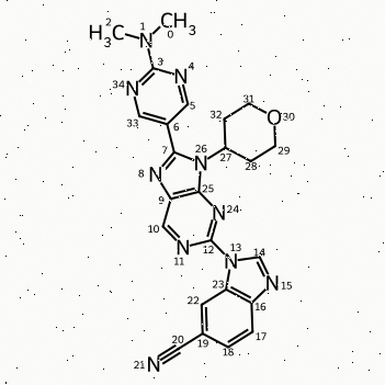 CN(C)c1ncc(-c2nc3cnc(-n4cnc5ccc(C#N)cc54)nc3n2C2CCOCC2)cn1